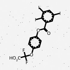 O=C(Oc1ccc(OC(F)(F)C(=O)O)cc1)c1cc(I)cc(I)c1I